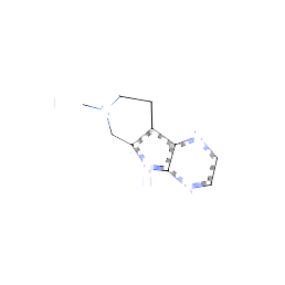 CN1CCc2c([nH]c3nccnc23)C1